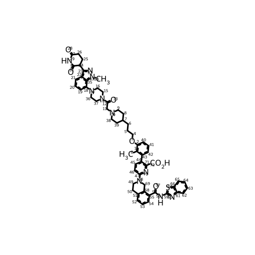 Cc1c(OCCCC2CCN(CC(=O)N3CCN(c4cccc5c(C6CCC(=O)NC6=O)nn(C)c45)CC3)CC2)cccc1-c1ccc(N2CCc3cccc(C(=O)Nc4nc5ccccc5s4)c3C2)nc1C(=O)O